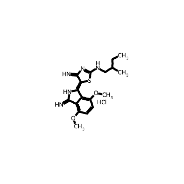 CCC(C)CNC1=NC(=N)C(=C2NC(=N)c3c(OC)ccc(OC)c32)S1.Cl